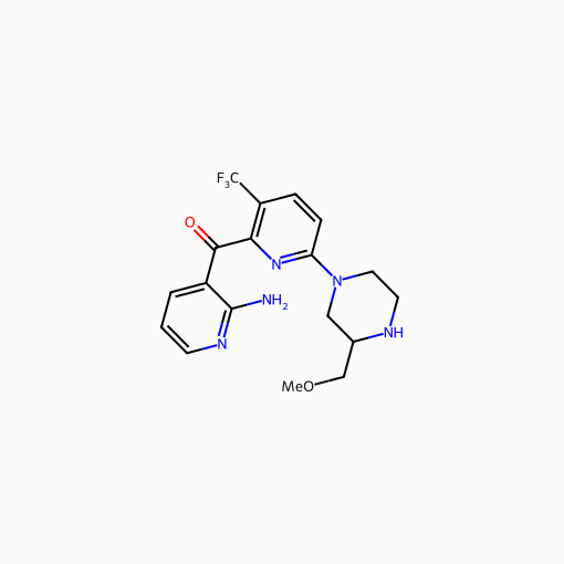 COCC1CN(c2ccc(C(F)(F)F)c(C(=O)c3cccnc3N)n2)CCN1